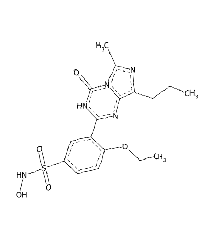 CCCc1nc(C)n2c(=O)[nH]c(-c3cc(S(=O)(=O)NO)ccc3OCC)nc12